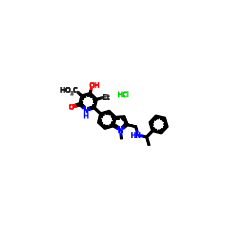 CCc1c(-c2ccc3c(c2)cc(CNC(C)c2ccccc2)n3C)[nH]c(=O)c(C(=O)O)c1O.Cl